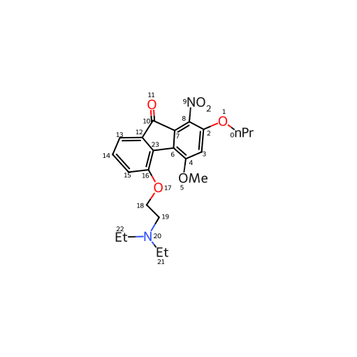 CCCOc1cc(OC)c2c(c1[N+](=O)[O-])C(=O)c1cccc(OCCN(CC)CC)c1-2